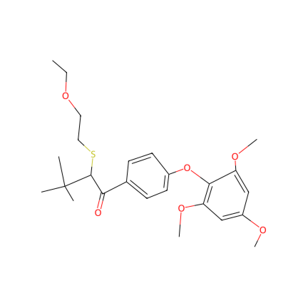 CCOCCSC(C(=O)c1ccc(Oc2c(OC)cc(OC)cc2OC)cc1)C(C)(C)C